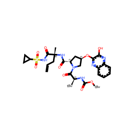 C=CC[C@@](C)(NC(=O)[C@@H]1C[C@@H](Oc2nc3ccccc3nc2O)CN1C(=O)[C@@H](NC(=O)OC(C)(C)C)C(C)(C)C)C(=O)NS(=O)(=O)C1CC1